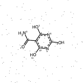 NC(=O)c1c(O)nc(O)nc1O